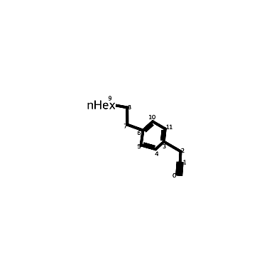 C#CCc1ccc(CCCCCCCC)cc1